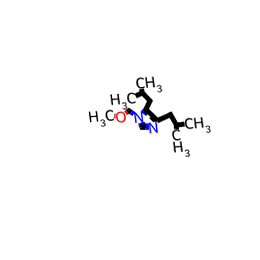 COCn1cnc(CC(C)C)c1CC(C)C